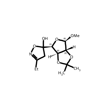 CCC1=NOC(O)([C@H]2O[C@@H](OC)[C@@H]3OC(C)(C)O[C@H]32)C1